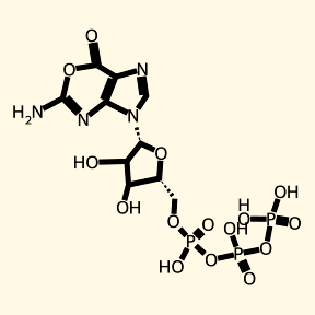 Nc1nc2c(ncn2[C@@H]2O[C@H](COP(=O)(O)OP(=O)(O)OP(=O)(O)O)C(O)C2O)c(=O)o1